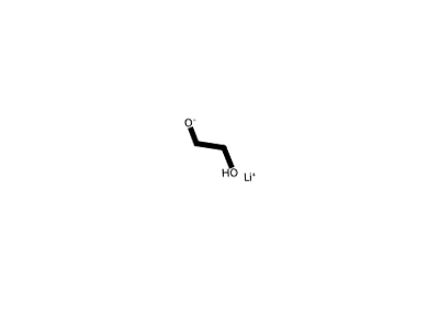 [Li+].[O-]CCO